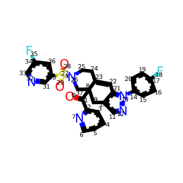 O=C(c1ccccn1)C12Cc3cnn(-c4ccc(F)cc4)c3C=C1CCN(S(=O)(=O)c1cncc(F)c1)C2